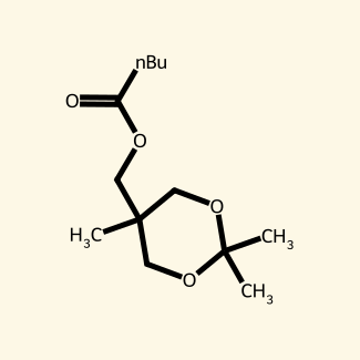 CCCCC(=O)OCC1(C)COC(C)(C)OC1